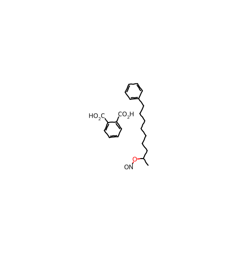 CC(CCCCCCCc1ccccc1)ON=O.O=C(O)c1ccccc1C(=O)O